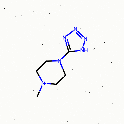 CN1CCN(c2nnn[nH]2)CC1